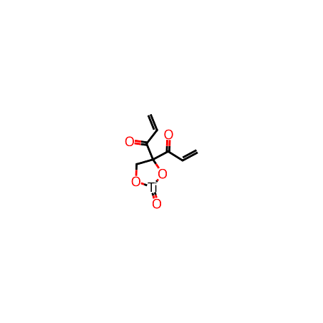 C=CC(=O)C1(C(=O)C=C)C[O][Ti](=[O])[O]1